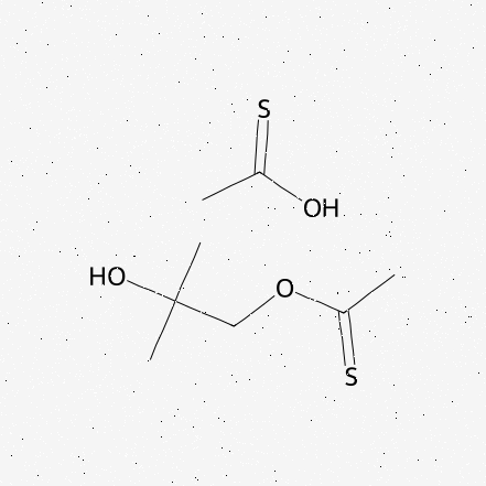 CC(=S)OCC(C)(C)O.CC(O)=S